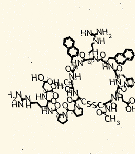 CC(=O)N[C@H]1CSSC[C@@H](C(=O)N2CCC[C@H]2C(=O)N2CCC[C@H]2C(=O)N[C@@H](CCCNC(=N)N)C(=O)N[C@@H](CC(=O)O)C(=O)O)NC(=O)[C@H](C)NC(=O)[C@H](Cc2ccc3ccccc3c2)NC(=O)[C@H](CCCNC(=N)N)NC(=O)[C@@H](Cc2ccc3ccccc3c2)NC(=O)[C@H](Cc2c[nH]cn2)NC(=O)[C@H](CCC(=O)O)NC1=O